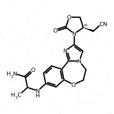 CC(Nc1ccc2c(c1)OCCn1cc(N3C(=O)OC[C@H]3CC#N)nc1-2)C(N)=O